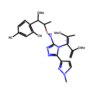 C=C(OC)/C(=C(\C)OC)n1c(NSC(C)C(OC)c2ccc(C#N)cc2C#N)nnc1-c1ccn(C)n1